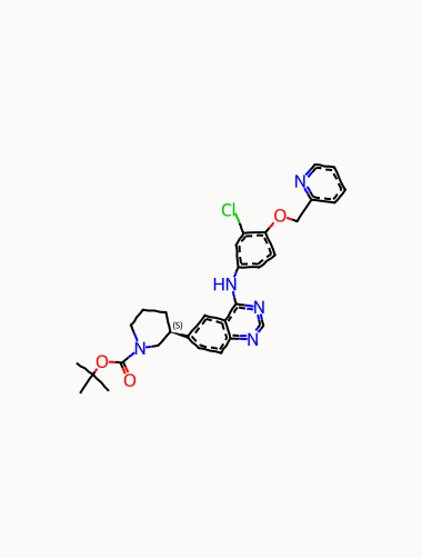 CC(C)(C)OC(=O)N1CCC[C@@H](c2ccc3ncnc(Nc4ccc(OCc5ccccn5)c(Cl)c4)c3c2)C1